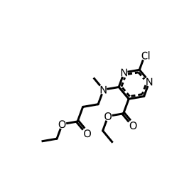 CCOC(=O)CCN(C)c1nc(Cl)ncc1C(=O)OCC